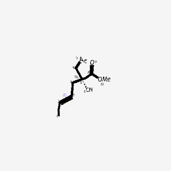 C/C=C/C[C@@](C#N)(CC(C)=O)C(=O)OC